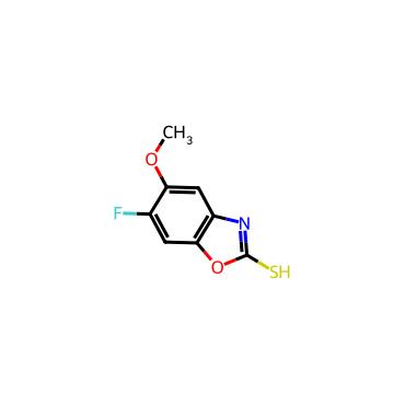 COc1cc2nc(S)oc2cc1F